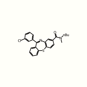 CCCCN(C)C(=O)c1ccc2c(c1)N=C(c1cccc(Cl)c1)c1ccccc1S2